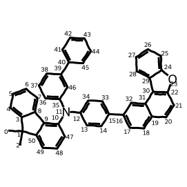 CC1(C)c2ccccc2-c2c(N(c3ccc(-c4ccc5ccc6oc7ccccc7c6c5c4)cc3)c3cccc(-c4ccccc4)c3)cccc21